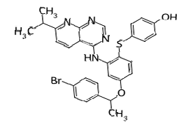 CC(C)c1ccc2c(Nc3cc(OC(C)c4ccc(Br)cc4)ccc3Sc3ccc(O)cc3)ncnc2n1